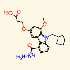 COc1cc(OCCC(=O)O)cc2c3c(C(=O)NN)cccc3n(CC3CCCC3)c12